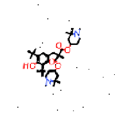 CN1CCC(OC(=O)C(C)(Cc2cc(C(C)(C)C)c(O)c(C(C)(C)C)c2)C(=O)OC2CCN(C)C(C)(C)C2)CC1(C)C